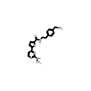 CNc1nccc(-c2ccc(C(=O)NCCc3ccc(CN)cc3)s2)n1